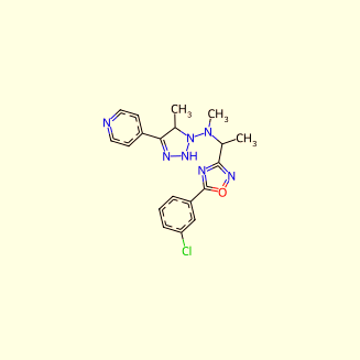 CC(c1noc(-c2cccc(Cl)c2)n1)N(C)N1NN=C(c2ccncc2)C1C